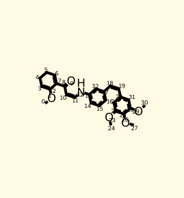 COC1=CCCC=C1C(=O)/C=C\Nc1cccc(/C=C\c2cc(OC)c(OC)c(OC)c2)c1